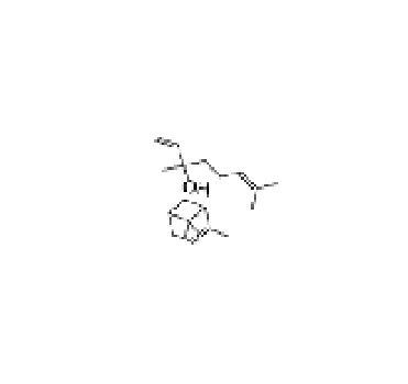 C=CC(C)(O)CCC=C(C)C.CC1=CCC2CC1C2(C)C